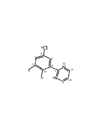 Cc1cc(Cl)cc(-c2ncccn2)c1C